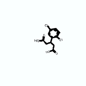 O=C(O)CC(CC(=O)O)c1cc(Cl)ccc1Cl